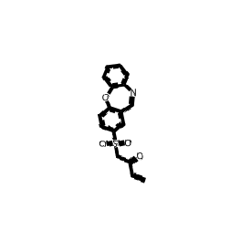 C=CC(=O)CS(=O)(=O)c1ccc2c(c1)C=Nc1ccccc1O2